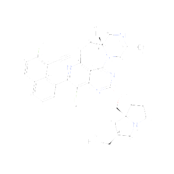 C#Cc1c(F)ccc2cccc(-c3nc4c5c(nc(OC[C@@]67CCCN6C[C@@H](CC(F)(F)F)C7)nc5c3F)N3C[C@@H](CC)NC[C@H]3CC4)c12